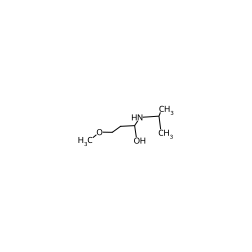 COCCC(O)NC(C)C